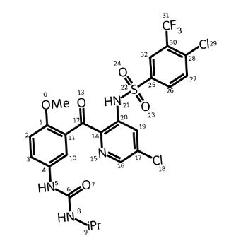 COc1ccc(NC(=O)NC(C)C)cc1C(=O)c1ncc(Cl)cc1NS(=O)(=O)c1ccc(Cl)c(C(F)(F)F)c1